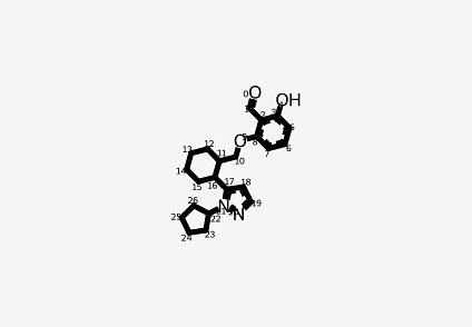 O=Cc1c(O)cccc1OCC1CCCCC1c1ccnn1C1CCCC1